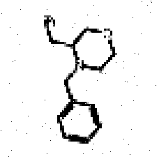 CC(C)C[C@H]1COCCN1Cc1ccccc1